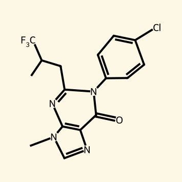 CC(Cc1nc2c(ncn2C)c(=O)n1-c1ccc(Cl)cc1)C(F)(F)F